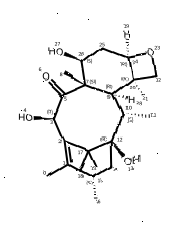 CC1=C2[C@@H](O)C(=O)[C@@]3(C)[C@H]([C@H](C)[C@](O)(C[C@@H]1C)C2(C)C)[C@]1(C)CO[C@@H]1C[C@@H]3O